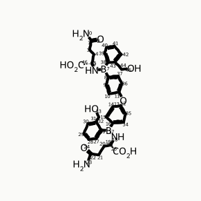 NC(=O)CC[C@H](NB(c1ccc(Oc2ccc(B(N[C@@H](CCC(N)=O)C(=O)O)c3ccccc3CO)cc2)cc1)c1ccccc1CO)C(=O)O